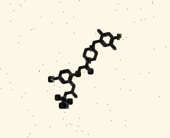 Cc1cc(CN2CCN(C(=O)COc3ccc(Cl)cc3CC(C)CS(=O)(=O)O)CC2)c(C)cc1F